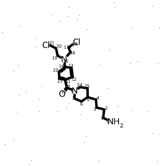 NCCCCC1CCN(C(=O)c2ccc(N(CCCl)CCCl)cc2)CC1